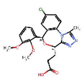 COc1cccc([C@@H]2O[C@@H](CCC(=O)O)c3nnc(C)n3-c3ccc(Cl)cc32)c1OC